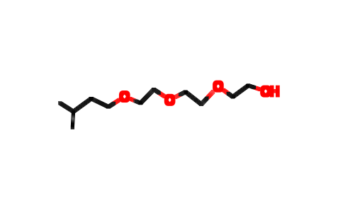 CC(C)CCOCCOCCOCCO